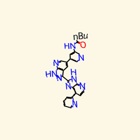 CCCCC(=O)Nc1cncc(-c2cnc3[nH]nc(-c4nc5c(-c6ccccn6)ccnc5[nH]4)c3c2)c1